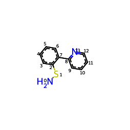 NSc1ccccc1-c1ccccn1